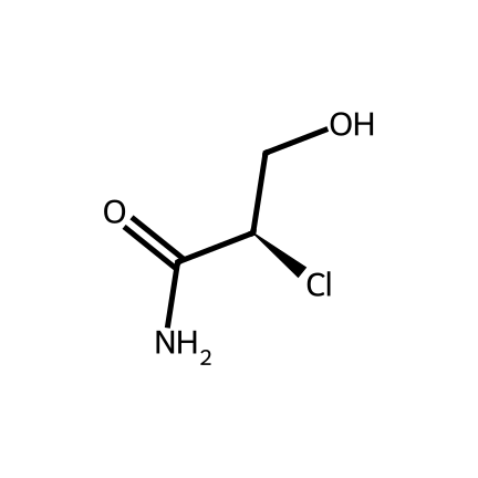 NC(=O)[C@H](Cl)CO